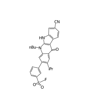 CCCCn1c2cc(-c3cccc(S(=O)(=O)F)c3)c(C(C)C)cc2c(=O)c2c3ccc(C#N)cc3[nH]c21